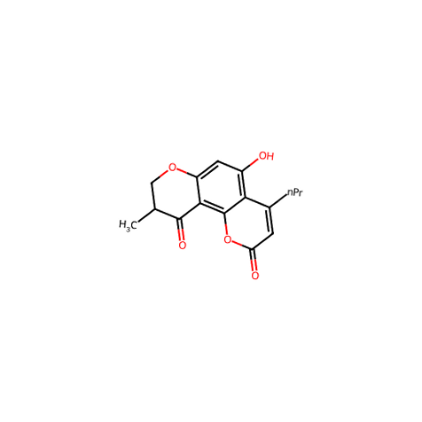 CCCc1cc(=O)oc2c3c(cc(O)c12)OCC(C)C3=O